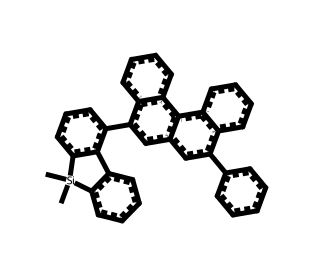 C[Si]1(C)c2ccccc2-c2c(-c3cc4cc(-c5ccccc5)c5ccccc5c4c4ccccc34)cccc21